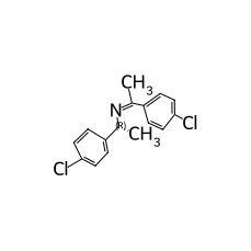 CC(=N[C@H](C)c1ccc(Cl)cc1)c1ccc(Cl)cc1